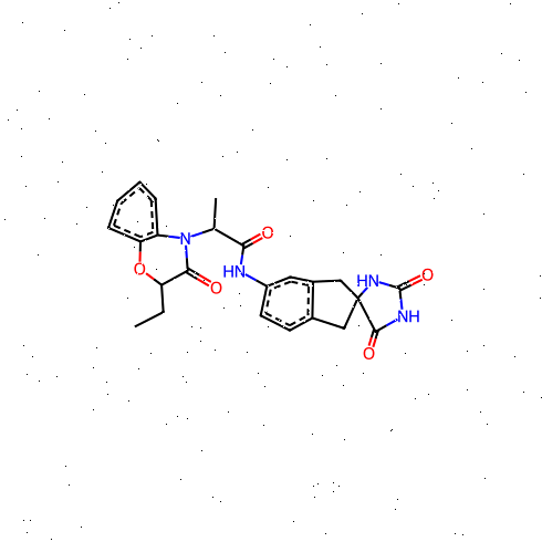 CCC1Oc2ccccc2N(C(C)C(=O)Nc2ccc3c(c2)CC2(C3)NC(=O)NC2=O)C1=O